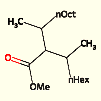 CCCCCCCCC(C)C(C(=O)OC)C(C)CCCCCC